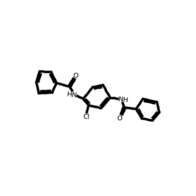 O=C(Nc1ccc(NC(=O)c2ccccc2)c(Cl)c1)c1ccccc1